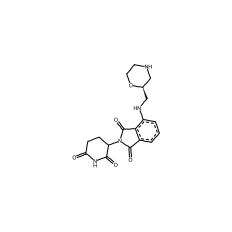 O=C1CCC(N2C(=O)c3cccc(NC[C@@H]4CNCCO4)c3C2=O)C(=O)N1